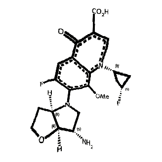 COc1c(N2C[C@H](N)[C@H]3OCC[C@H]32)c(F)cc2c(=O)c(C(=O)O)cn([C@@H]3C[C@@H]3F)c12